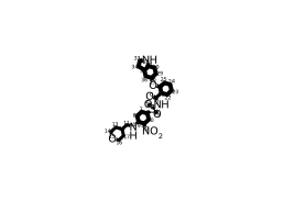 O=C(NS(=O)(=O)c1ccc(NCC2CCOCC2)c([N+](=O)[O-])c1)c1ccccc1Oc1ccc2[nH]ccc2c1